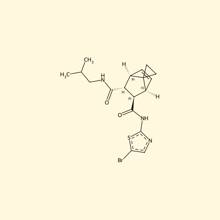 CC(C)CNC(=O)[C@H]1[C@H](C(=O)Nc2ncc(Br)s2)[C@@H]2C=C[C@H]1C21CC1